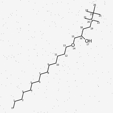 CCCCCCCCCCCCCCOCC(O)CCS(C)(C)C(C)(C)C